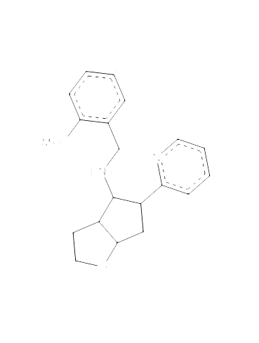 COc1ccccc1CNC1C(c2ccccn2)CC2OCCC21